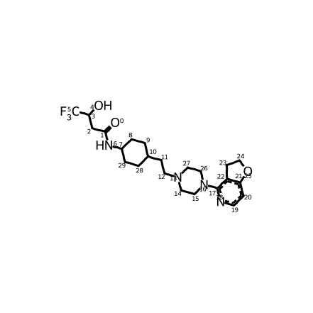 O=C(CC(O)C(F)(F)F)NC1CCC(CCN2CCN(c3nccc4c3CCO4)CC2)CC1